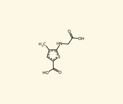 Cc1cc(C(=O)O)sc1NCC(=O)O